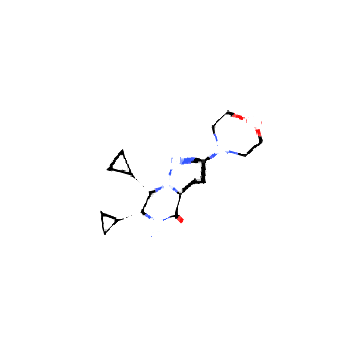 C[C@@H]1COCCN1c1cc2n(n1)[C@H](C1CC1)[C@H](C1CC1)NC2=O